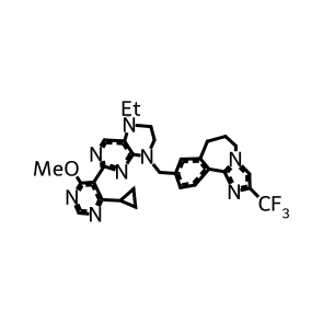 CCN1CCN(Cc2ccc3c(c2)CCCn2cc(C(F)(F)F)nc2-3)c2nc(-c3c(OC)ncnc3C3CC3)ncc21